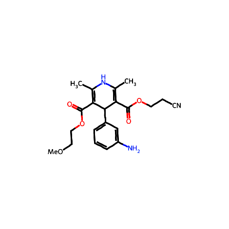 COCCOC(=O)C1=C(C)NC(C)=C(C(=O)OCCC#N)C1c1cccc(N)c1